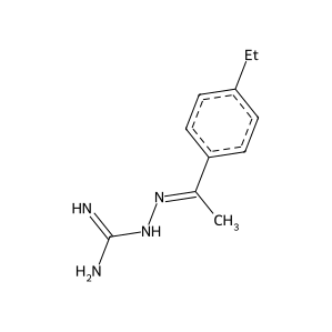 CCc1ccc(/C(C)=N/NC(=N)N)cc1